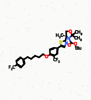 CC(C)(C)OC(=O)N1C(C)(C)OC[C@]1(C)c1ncc(-c2ccc(OCCCCCc3ccc(C(F)(F)F)cc3)c(C(F)(F)F)c2)s1